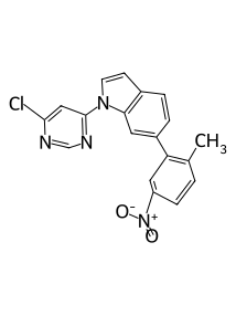 Cc1ccc([N+](=O)[O-])cc1-c1ccc2ccn(-c3cc(Cl)ncn3)c2c1